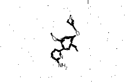 CCc1cc(-c2cccc(N)n2)c(OC)cc1OC1=CN(C)C1